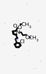 CCOC(=O)c1ccc(/C=C/c2ccccc2Cl)n1CCCOC